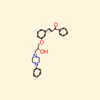 O=C(/C=C/c1cccc(OCC(O)CN2CCN(c3ccccc3)CC2)c1)c1ccccc1